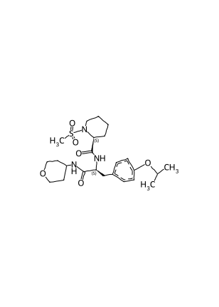 CC(C)Oc1ccc(C[C@H](NC(=O)[C@@H]2CCCCN2S(C)(=O)=O)C(=O)NC2CCOCC2)cc1